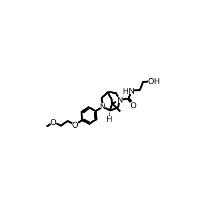 COCCOc1ccc(N2CC3CN(C(=O)NCCO)C[C@@H]2C(C)(C)C3)cc1